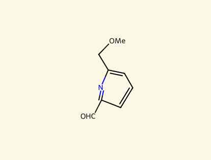 COCc1cccc(C=O)n1